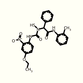 CCOc1ccc(NC(=O)N(S)C(C(=O)Nc2ccccc2C)c2ccccc2)c([N+](=O)[O-])c1